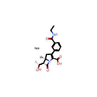 CCNC(=O)c1cccc(C2=C(C(=O)O)N3C(=O)[C@H]([C@@H](C)O)[C@H]3C2)c1.[Na]